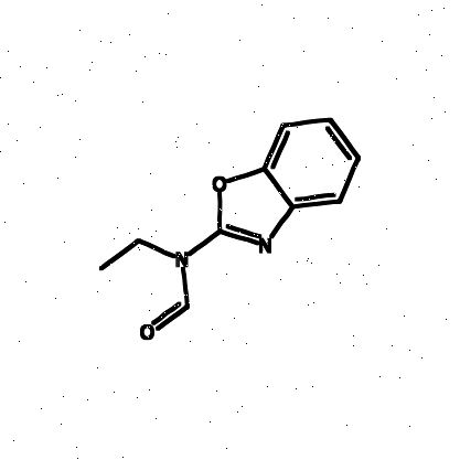 CCN(C=O)c1nc2ccccc2o1